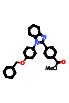 COC(=O)c1ccc(-c2nc3ccccc3n2-c2ccc(OCc3ccccc3)cc2)cc1